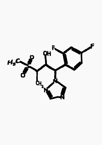 CC(C(O)C(c1ccc(F)cc1F)n1cncn1)S(C)(=O)=O